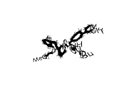 COCCCn1c(C2CCCN(C(=O)C[C@@H](Cc3ccc(-c4ccnc(O)c4)cc3)NC(=O)OC(C)(C)C)C2)cc2c(F)cccc21